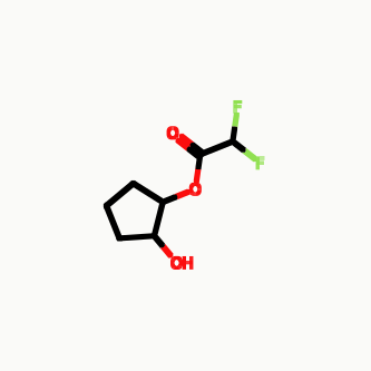 O=C(OC1CCCC1O)C(F)F